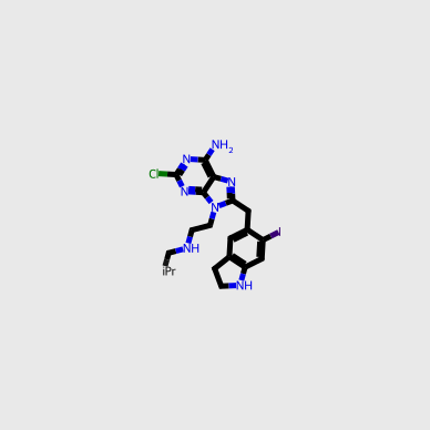 CC(C)CNCCn1c(Cc2cc3c(cc2I)NCC3)nc2c(N)nc(Cl)nc21